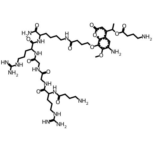 COc1c(N)cc2c(C(C)OC(=O)CCCN)cc(=O)oc2c1OCCCC(=O)NCCCCC(NC(=O)C(CCCNC(=N)N)NC(=O)CNC(=O)CNC(=O)C(CCCNC(=N)N)NC(=O)CCCN)C(N)=O